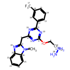 Cn1c(Cc2nc(OCC(F)(F)F)nc(-c3cccc(C(F)(F)F)c3)n2)nc2ccccc21.NN